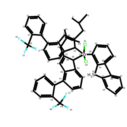 CC(C)CC1=Cc2c(-c3ccccc3C(F)(F)F)cccc2[CH]1[Zr]([Cl])([Cl])([c]1cccc2c1[SiH2]c1ccccc1-2)[CH]1C(CC(C)C)=Cc2c(-c3ccccc3C(F)(F)F)cccc21